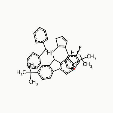 CC(C)(C)c1ccc2c(c1)[CH]([Hf]([C]1=C(c3ccccc3F)C=CC1)=[C](c1ccccc1)c1ccccc1)c1cc(C(C)(C)C)ccc1-2